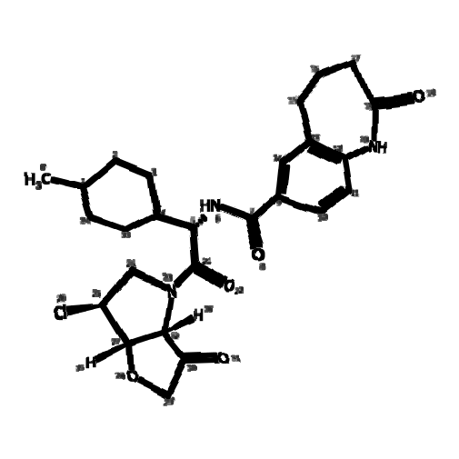 CC1CCC([C@H](NC(=O)c2ccc3c(c2)CCCC(=O)N3)C(=O)N2C[C@H](Cl)[C@H]3OCC(=O)[C@H]32)CC1